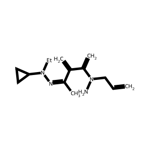 C=CCN(N)C(=C)C(=C)/C(C)=N\N(CC)C1CC1